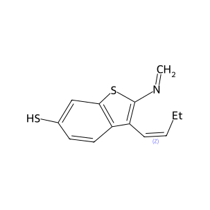 C=Nc1sc2cc(S)ccc2c1/C=C\CC